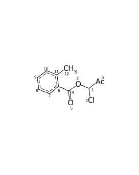 CC(=O)C(Cl)OC(=O)c1ccccc1C